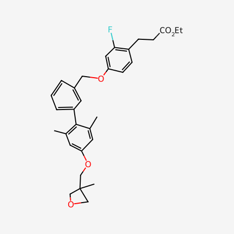 CCOC(=O)CCc1ccc(OCc2cccc(-c3c(C)cc(OCC4(C)COC4)cc3C)c2)cc1F